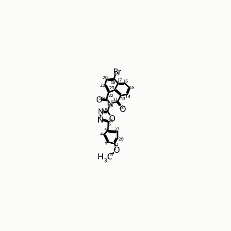 COc1ccc(-c2nnc(N3C(=O)c4cccc5c(Br)ccc(c45)C3=O)o2)cc1